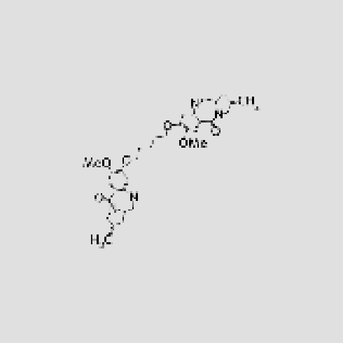 C=C1CC2C=Nc3cc(OCCCCCOc4cc5c(cc4OC)C(=O)N4CC(=C)CC4C=N5)c(OC)cc3C(=O)N2C1